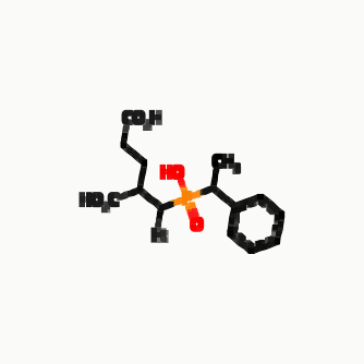 CCC(C(CCC(=O)O)C(=O)O)P(=O)(O)C(C)c1ccccc1